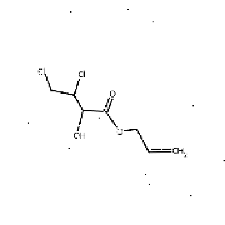 C=CCOC(=O)C(O)C(Cl)CCl